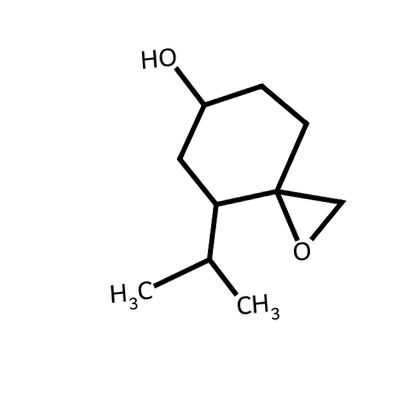 CC(C)C1CC(O)CCC12CO2